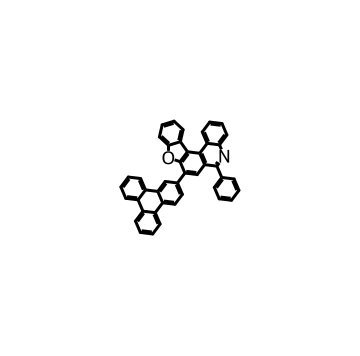 c1ccc(-c2nc3ccccc3c3c2cc(-c2ccc4c5ccccc5c5ccccc5c4c2)c2oc4ccccc4c23)cc1